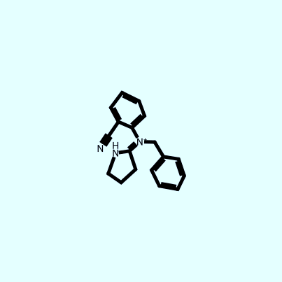 N#Cc1ccccc1[N+](Cc1ccccc1)=C1CCCN1